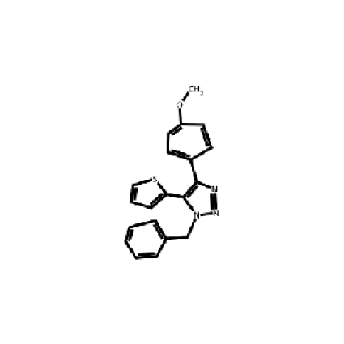 COc1ccc(-c2nnn(Cc3ccccc3)c2-c2cccs2)cc1